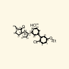 CCOc1ccc(Cl)c(-c2ccnc([C@H]3CC[C@@]4(CCN(C)C4=O)N3)c2)c1.Cl